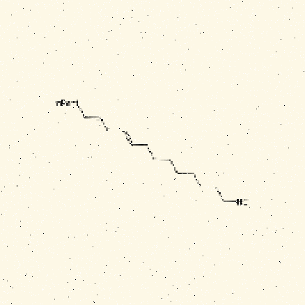 [C-]#[N+]CCCCCCCCC=CCC=CCCCCC